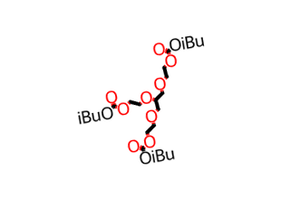 CC(C)COC(=O)OCCOCC(COCCOC(=O)OCC(C)C)OCCOC(=O)OCC(C)C